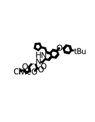 COC(=O)[C@H](Cc1ccc(Cl)o1)NC(=O)c1cc2ccc(Oc3ccc(C(C)(C)C)cc3)cc2c(CC2CCCC2)n1